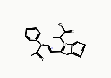 CC(=O)N(/C=C/c1sc2ccccc2[n+]1C(C)C(=O)O)c1ccccc1.[I-]